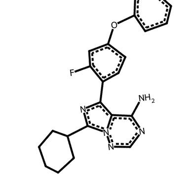 Nc1ncnn2c(C3CCCCC3)nc(-c3ccc(Oc4ccccc4)cc3F)c12